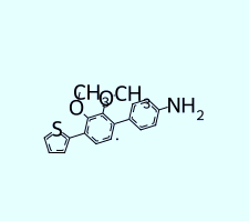 COc1c(-c2ccc(N)cc2)[c]cc(-c2cccs2)c1OC